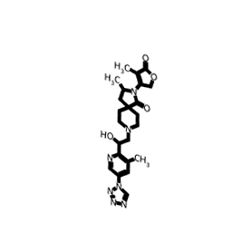 CC1=C(N2C(=O)C3(CCN(CC(O)c4ncc(-n5cnnn5)cc4C)CC3)CC2C)COC1=O